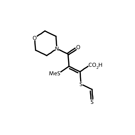 CS/C(C(=O)N1CCOCC1)=C(\SC=S)C(=O)O